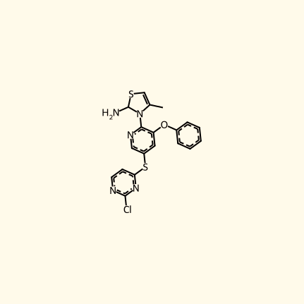 CC1=CSC(N)N1c1ncc(Sc2ccnc(Cl)n2)cc1Oc1ccccc1